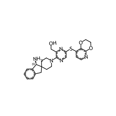 N[C@@H]1c2ccccc2CC12CCN(c1ncc(Sc3ccnc4c3OCCO4)nc1CO)CC2